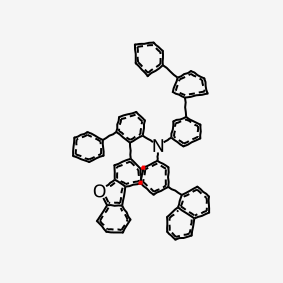 c1ccc(-c2cccc(-c3cccc(N(c4cccc(-c5cccc6ccccc56)c4)c4cccc(-c5ccccc5)c4-c4ccc5c(c4)oc4ccccc45)c3)c2)cc1